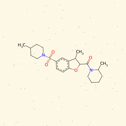 CC1CCN(S(=O)(=O)c2ccc3c(c2)C(C)C(C(=O)N2CCCCC2C)O3)CC1